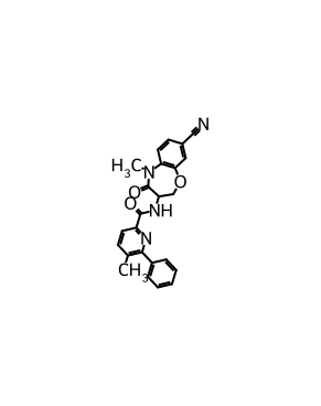 Cc1ccc(C(=O)NC2COc3cc(C#N)ccc3N(C)C2=O)nc1-c1ccccc1